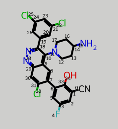 N#Cc1cc(F)cc(-c2cc3c(N4CCC(N)CC4)c(-c4cc(Cl)cc(Cl)c4)nnc3cc2Cl)c1O